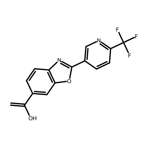 C=C(O)c1ccc2nc(-c3ccc(C(F)(F)F)nc3)oc2c1